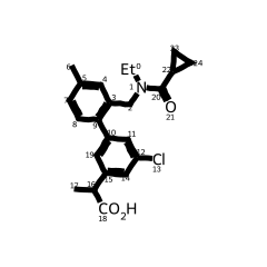 CCN(Cc1cc(C)ccc1-c1cc(Cl)cc(C(C)C(=O)O)c1)C(=O)C1CC1